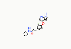 O=C(CCc1cc(F)c(Oc2ccnc3[nH]ccc23)c(F)c1)NC1CCCCC1